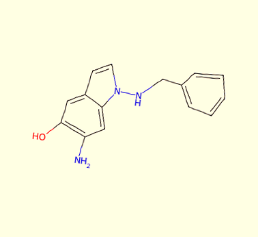 Nc1cc2c(ccn2NCc2ccccc2)cc1O